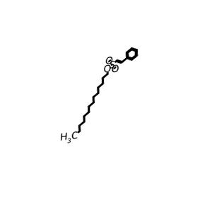 CCCCCCCCCCCCCCOS(=O)(=O)C=Cc1ccccc1